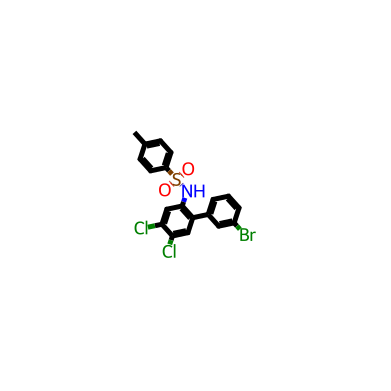 Cc1ccc(S(=O)(=O)Nc2cc(Cl)c(Cl)cc2-c2cccc(Br)c2)cc1